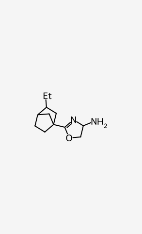 CCC1CC2(C3=NC(N)CO3)CCC1C2